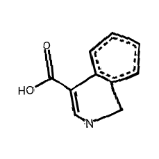 O=C(O)C1=C[N]Cc2ccccc21